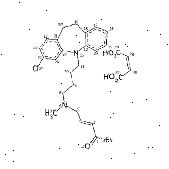 CCC(=O)/C=C/CN(C)CCCCN1c2ccccc2CCc2ccc(Cl)cc21.O=C(O)/C=C\C(=O)O